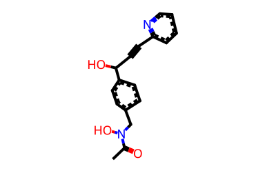 CC(=O)N(O)Cc1ccc(C(O)C#Cc2ccccn2)cc1